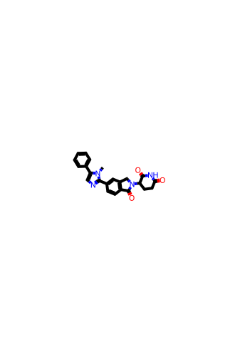 Cn1c(-c2ccccc2)cnc1-c1ccc2c(c1)CN(C1CCC(=O)NC1=O)C2=O